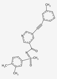 Cc1cccc(C#Cc2cncc(C(=O)N=S(C)(=O)c3ccc(C)c(C)c3)c2)c1